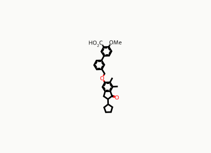 COc1ccc(-c2cccc(COc3cc4c(c(C)c3C)C(=O)C(C3CCCC3)C4)c2)cc1C(=O)O